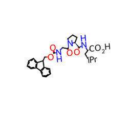 CC(C)C[C@H](NC(=O)[C@@H]1CCCN1C(=O)CNC(=O)OCC1c2ccccc2-c2ccccc21)C(=O)O